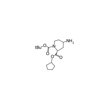 CC(C)(C)OC(=O)N1CCC(N)C[C@H]1C(=O)OC1CCCC1